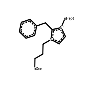 CCCCCCCCCCCCCn1cc[n+](CCCCCCC)c1Cc1ccccc1